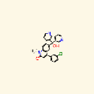 Cn1c(=O)cc(-c2cccc(Cl)c2)c2cc(C(O)(c3cccnc3)c3cccnc3)ccc21